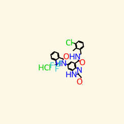 COCc1nc2c(C(=O)NCc3cccc(Cl)c3C)cc(NC(=O)c3ccccc3C(F)(F)F)cc2[nH]1.Cl